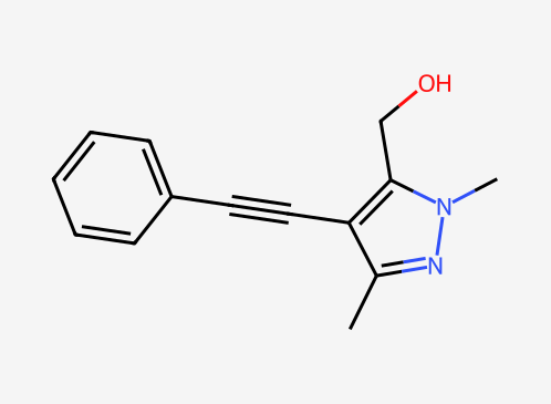 Cc1nn(C)c(CO)c1C#Cc1ccccc1